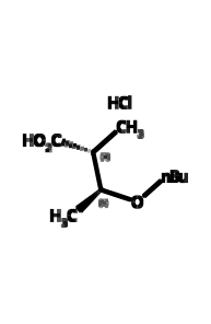 CCCCO[C@@H](C)[C@@H](C)C(=O)O.Cl